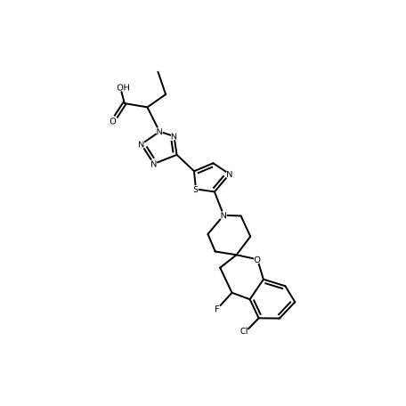 CCC(C(=O)O)n1nnc(-c2cnc(N3CCC4(CC3)CC(F)c3c(Cl)cccc3O4)s2)n1